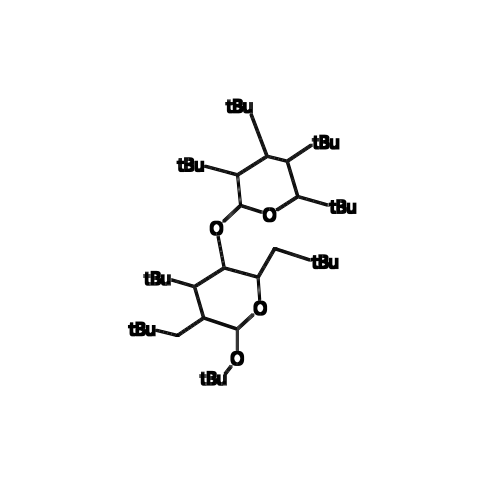 CC(C)(C)CC1OC(OC(C)(C)C)C(CC(C)(C)C)C(C(C)(C)C)C1OC1OC(C(C)(C)C)C(C(C)(C)C)C(C(C)(C)C)C1C(C)(C)C